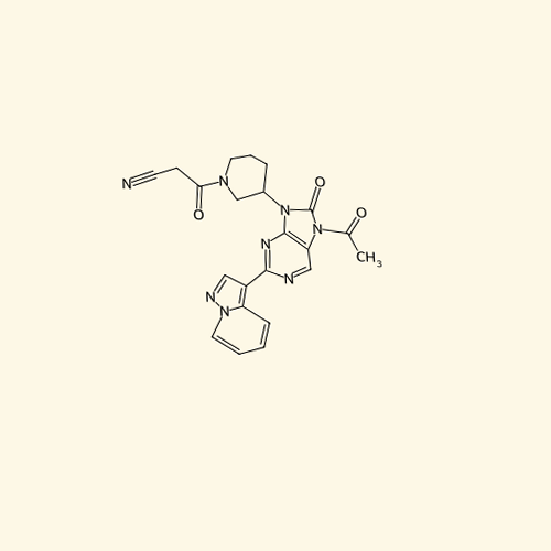 CC(=O)n1c(=O)n(C2CCCN(C(=O)CC#N)C2)c2nc(-c3cnn4ccccc34)ncc21